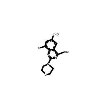 CC(C)(C)c1nc(N2CCOCC2)nc2c(Cl)cc(C=O)cc12